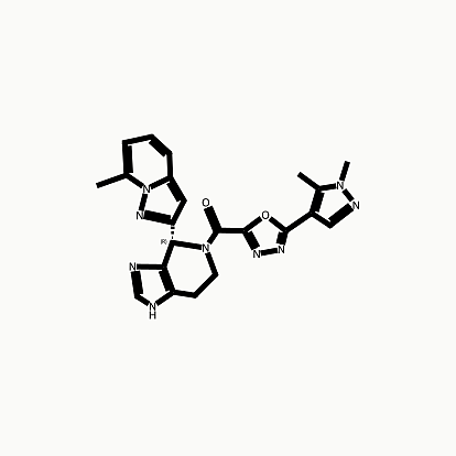 Cc1c(-c2nnc(C(=O)N3CCc4[nH]cnc4[C@@H]3c3cc4cccc(C)n4n3)o2)cnn1C